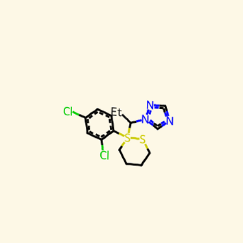 CCC(n1cncn1)S1(c2ccc(Cl)cc2Cl)CCCCS1